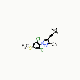 C[Si](C)(C)C#Cc1cn(-c2c(Cl)cc(SC(F)(F)F)cc2Cl)nc1C#N